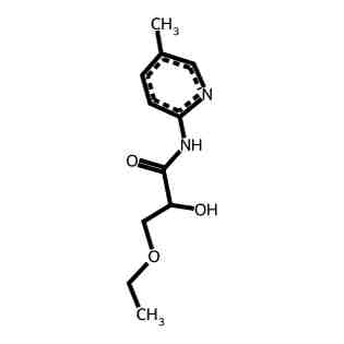 CCOCC(O)C(=O)Nc1ccc(C)cn1